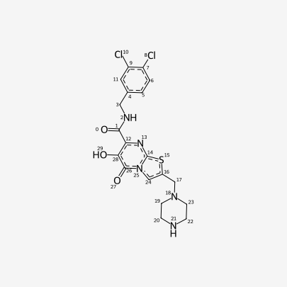 O=C(NCc1ccc(Cl)c(Cl)c1)c1nc2sc(CN3CCNCC3)cn2c(=O)c1O